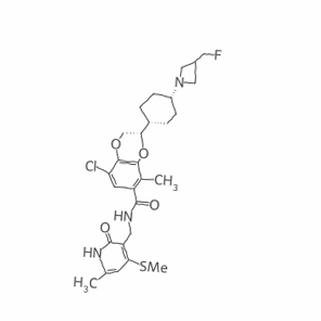 CSc1cc(C)[nH]c(=O)c1CNC(=O)c1cc(Cl)c2c(c1C)O[C@@H]([C@H]1CC[C@@H](N3CC(CF)C3)CC1)CO2